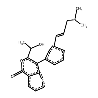 CC(O)c1oc(=O)c2ccccc2c1-c1cccc(/C=C/CN(C)C)c1